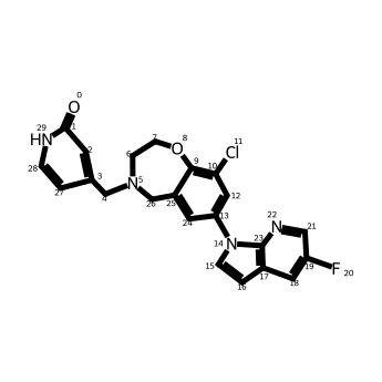 O=c1cc(CN2CCOc3c(Cl)cc(-n4ccc5cc(F)cnc54)cc3C2)cc[nH]1